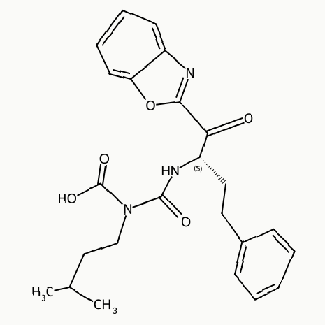 CC(C)CCN(C(=O)O)C(=O)N[C@@H](CCc1ccccc1)C(=O)c1nc2ccccc2o1